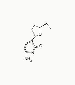 CC[C@@H]1CC[C@H](n2ccc(N)nc2=O)O1